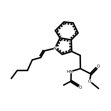 CCCCC=Cn1cc(CC(NC(C)=O)C(=O)OC)c2ccccc21